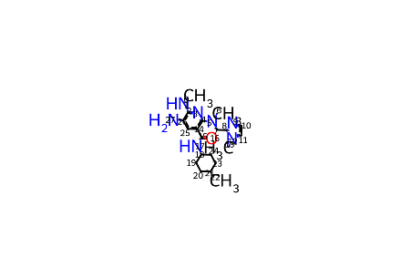 CNc1nc(N(C)Cc2nccn2C)c(C(=O)N[C@H]2CC[C@H](C)CC2)cc1N